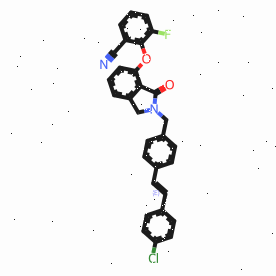 N#Cc1cccc(F)c1Oc1cccc2c1C(=O)N(Cc1ccc(/C=C/c3ccc(Cl)cc3)cc1)C2